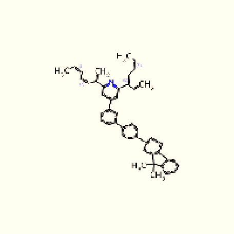 C=C/C(=C\C=C/C)c1cc(-c2cccc(-c3ccc(-c4ccc5c(c4)C(C)(C)c4ccccc4-5)cc3)c2)cc(C(=C)/C=C\C=C/C)n1